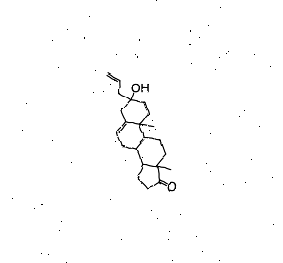 C=CCC1(O)CCC2(C)C(=CCC3C4CCC(=O)C4(C)CCC32)C1